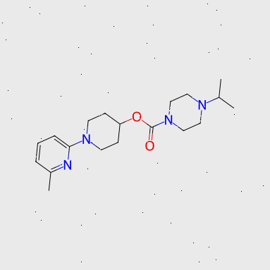 Cc1cccc(N2CCC(OC(=O)N3CCN(C(C)C)CC3)CC2)n1